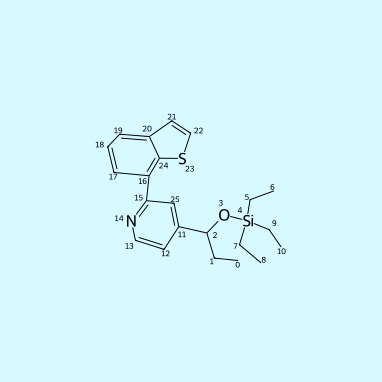 CCC(O[Si](CC)(CC)CC)c1ccnc(-c2cccc3ccsc23)c1